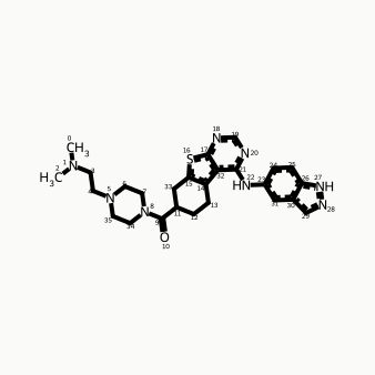 CN(C)CCN1CCN(C(=O)C2CCc3c(sc4ncnc(Nc5ccc6[nH]ncc6c5)c34)C2)CC1